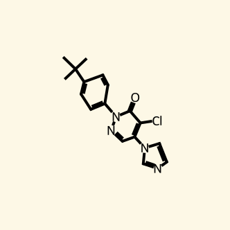 CC(C)(C)c1ccc(-n2ncc(-n3ccnc3)c(Cl)c2=O)cc1